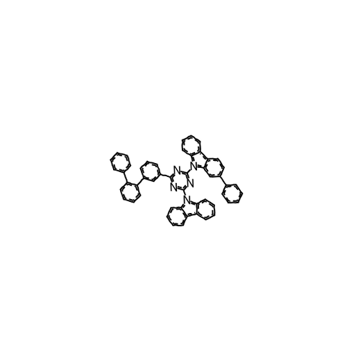 c1ccc(-c2ccc3c4ccccc4n(-c4nc(-c5cccc(-c6ccccc6-c6ccccc6)c5)nc(-n5c6ccccc6c6ccccc65)n4)c3c2)cc1